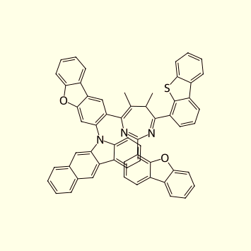 CC1=C(c2cc3c(cc2-n2c4ccccc4c4cc5ccccc5cc42)oc2ccccc23)N=C(c2cccc3c2oc2ccccc23)N=C(c2cccc3c2sc2ccccc23)C1C